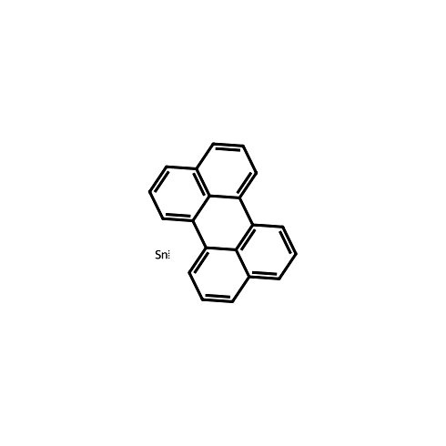 [Sn].c1cc2cccc3c4cccc5cccc(c(c1)c23)c54